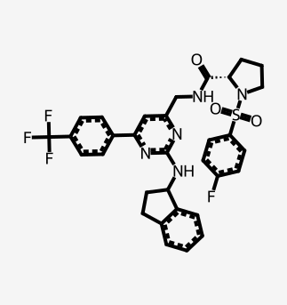 O=C(NCc1cc(-c2ccc(C(F)(F)F)cc2)nc(NC2CCc3ccccc32)n1)[C@@H]1CCCN1S(=O)(=O)c1ccc(F)cc1